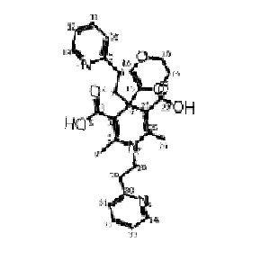 CC1=C(C(=O)O)C(CCc2ccccn2)(C2=COCCO2)C(C(=O)O)=C(C)N1CCc1ccccn1